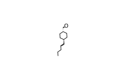 CCCC=C[C@H]1CC[C@H](C=O)CC1